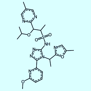 COc1cccc(-c2nnc(NS(=O)(=O)C(C)C(OC(C)C)c3ncc(C)cn3)n2C(C)c2ncc(C)o2)n1